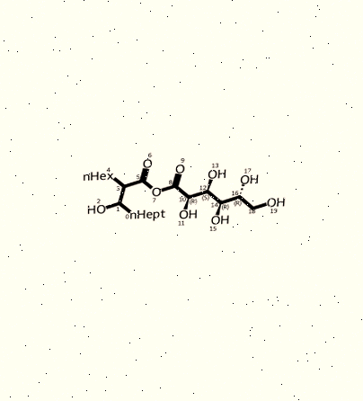 CCCCCCCC(O)C(CCCCCC)C(=O)OC(=O)[C@H](O)[C@@H](O)[C@H](O)[C@H](O)CO